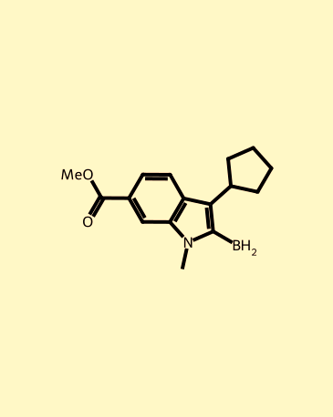 Bc1c(C2CCCC2)c2ccc(C(=O)OC)cc2n1C